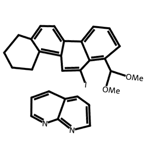 COC(OC)c1cccc2c1c(I)cc1c3c(ccc12)CCCC3.c1cnc2ncccc2c1